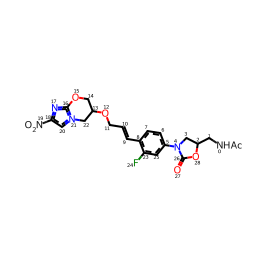 CC(=O)NCC1CN(c2ccc(/C=C/COC3COc4nc([N+](=O)[O-])cn4C3)c(F)c2)C(=O)O1